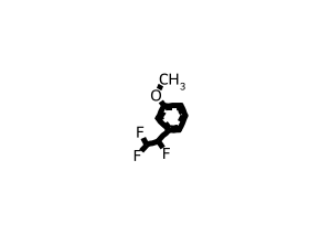 COc1cccc(C(F)C(F)F)c1